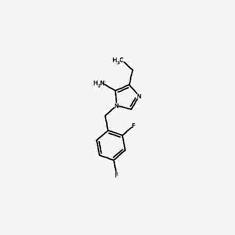 CCc1ncn(Cc2ccc(F)cc2F)c1N